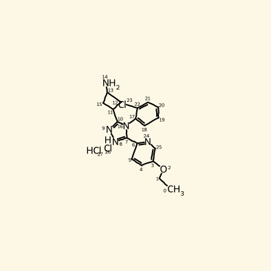 CCOc1ccc(-c2nnc(C3CC(N)C3)n2-c2ccccc2Cl)nc1.Cl.Cl